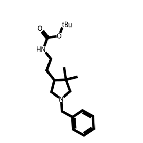 CC(C)(C)OC(=O)NCCC1CN(Cc2ccccc2)CC1(C)C